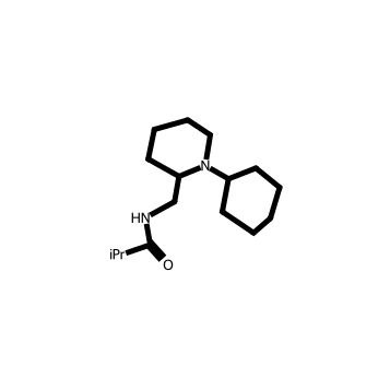 CC(C)C(=O)NCC1CCCCN1C1CCCCC1